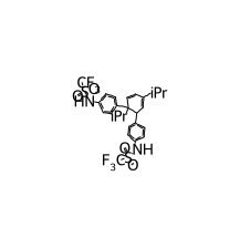 CC(C)C1=CC(c2ccc(NS(=O)(=O)C(F)(F)F)cc2)C(c2ccc(NS(=O)(=O)C(F)(F)F)cc2)(C(C)C)C=C1